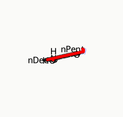 CCCCC/C=C\C/C=C\CCCCCCCC(=O)CCCCCCCCCCCCCCCCCCCCCCCCCCCCCC(=O)N[C@H](CO)CCCCCCCCCCCCCCCCCC